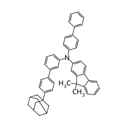 CC1(C)c2ccccc2-c2ccc(N(c3ccc(-c4ccccc4)cc3)c3cccc(-c4ccc(C56CC7CC(CC(C7)C5)C6)cc4)c3)cc21